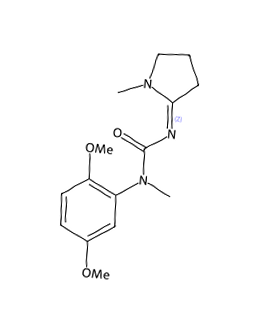 COc1ccc(OC)c(N(C)C(=O)/N=C2/CCCN2C)c1